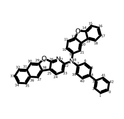 c1ccc(-c2ccc(N(c3ccc4oc5ccccc5c4c3)c3ccc4c(n3)oc3cc5ccccc5cc34)cc2)cc1